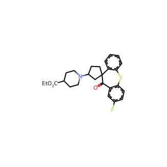 CCOC(=O)C1CCN(C2CCC3(C2)C(=O)c2cc(F)ccc2Sc2ccccc23)CC1